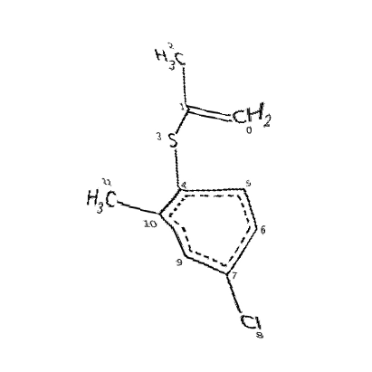 C=C(C)Sc1ccc(Cl)cc1C